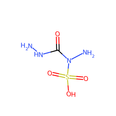 NNC(=O)N(N)S(=O)(=O)O